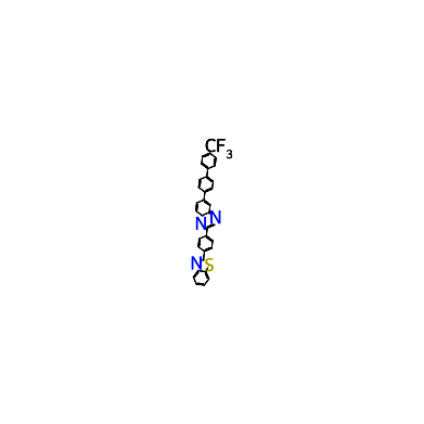 FC(F)(F)c1ccc(-c2ccc(-c3ccc4nc(-c5ccc(-c6nc7ccccc7s6)cc5)cnc4c3)cc2)cc1